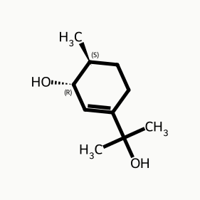 C[C@H]1CCC(C(C)(C)O)=C[C@@H]1O